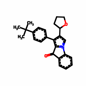 CC(C)(C)c1ccc(-c2c(C3CCCO3)cn3c2C(=O)c2ccccc2-3)cc1